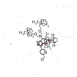 CC(C)(C)OC(=O)N1[C@@H]2CC[C@H]1C[C@@H](c1nc3c(-c4ccc(C=O)nc4)cnn3c(N(COCC[Si](C)(C)C)COCC[Si](C)(C)C)c1C1CC1)C2